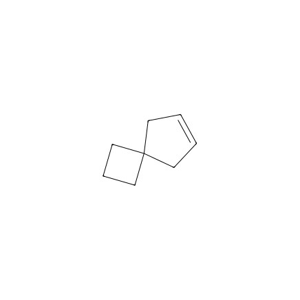 C1=CCC2(C1)CCC2